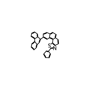 c1ccc(-c2nc3ccc4ccc5ccc(-c6cc7ccccc7c7ccccc67)cc5c4c3s2)cc1